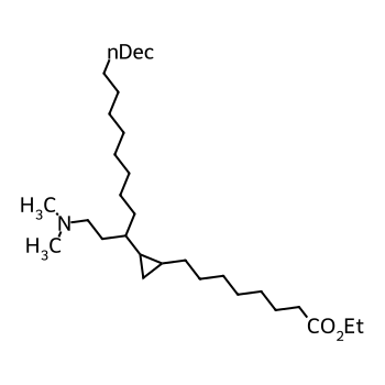 CCCCCCCCCCCCCCCCCCC(CCN(C)C)C1CC1CCCCCCCC(=O)OCC